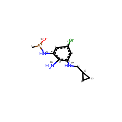 C[S+]([O-])Nc1cc(Br)cc(NCC2CC2)c1N